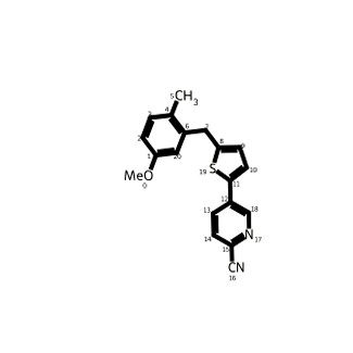 COc1ccc(C)c(Cc2ccc(-c3ccc(C#N)nc3)s2)c1